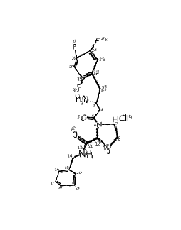 Cl.N[C@@H](CC(=O)N1CCSC1C(=O)NCc1ccccc1)Cc1cc(F)c(F)cc1F